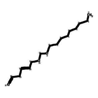 CCCCCCCCCOCOCC=CCC=O